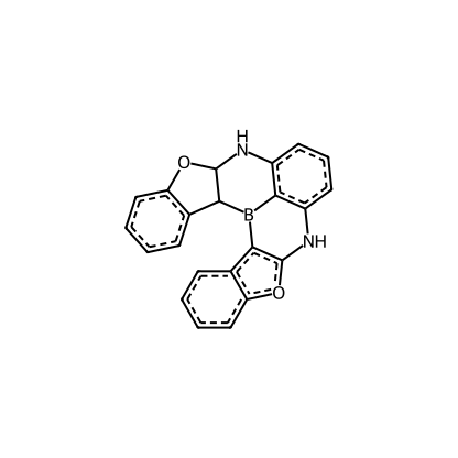 c1cc2c3c(c1)NC1Oc4ccccc4C1B3c1c(oc3ccccc13)N2